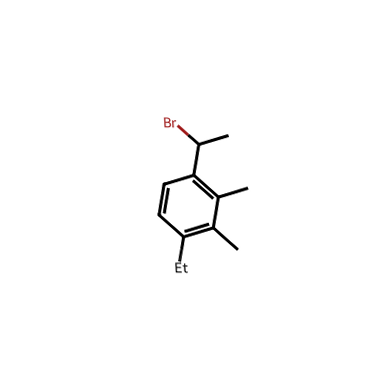 CCc1ccc(C(C)Br)c(C)c1C